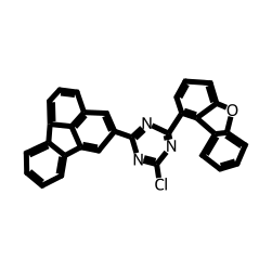 Clc1nc(-c2cc3c4c(cccc4c2)-c2ccccc2-3)nc(-c2cccc3oc4ccccc4c23)n1